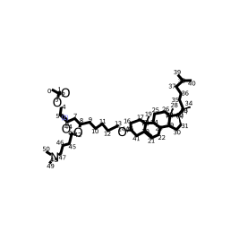 CC(=O)OC/C=C\CC(CCCCCO[C@H]1CC[C@@]2(C)C(=CCC3C2CC[C@@]2(C)C3CC[C@@H]2[C@H](C)CCCC(C)C)C1)OC(=O)CCCN(C)C